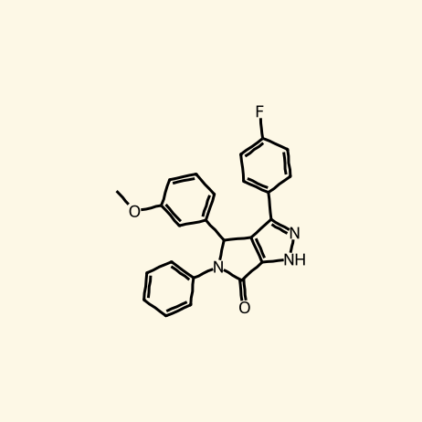 COc1cccc(C2c3c(-c4ccc(F)cc4)n[nH]c3C(=O)N2c2ccccc2)c1